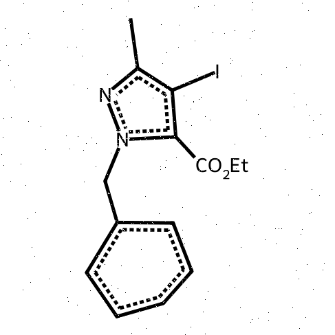 CCOC(=O)c1c(I)c(C)nn1Cc1ccccc1